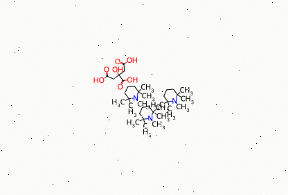 CN1C(C)(C)CCCC1(C)C.CN1C(C)(C)CCCC1(C)C.CN1C(C)(C)CCCC1(C)C.O=C(O)CC(O)(CC(=O)O)C(=O)O